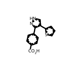 O=C(O)c1ccc(-c2n[nH]cc2-c2cccs2)cc1